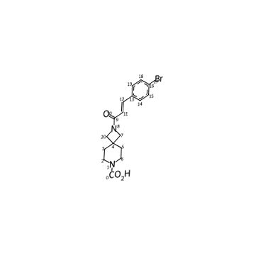 O=C(O)N1CCC2(CC1)CN(C(=O)/C=C/c1ccc(Br)cc1)C2